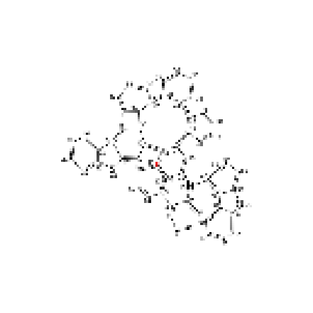 c1ccc(-c2ccccc2N(c2ccc3c(c2)c2ccccc2c2ccccc2c2ccccc2c2cc4c(cc32)sc2ccccc24)c2cccc3oc4ccccc4c23)cc1